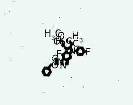 COC(=O)/C=C/c1c(C(C)C)n(-c2ccc(F)cc2)c2cc3cnn(C(=O)OCc4ccccc4)c3c(F)c12